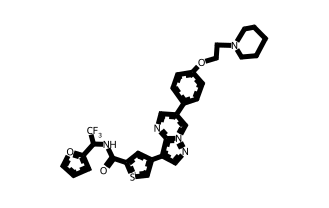 O=C(NC(c1ccco1)C(F)(F)F)c1cc(-c2cnn3cc(-c4ccc(OCCN5CCCCC5)cc4)cnc23)cs1